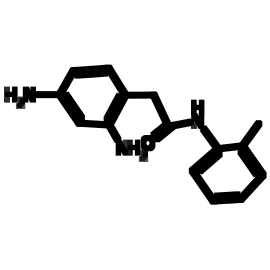 Cc1ccccc1NC(=O)Cc1ccc(N)cc1N